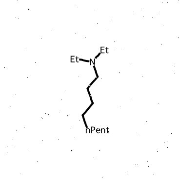 CCCCCCCCCN(CC)CC